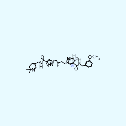 CC1(C)CC=C(CNC(=O)c2cn(CC(F)CCN(N)/C=C(\N)C(=O)NCc3cccc(OC(F)(F)F)c3)nn2)C=N1